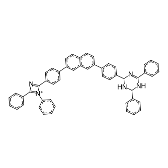 c1ccc(C2=NC(c3ccc(-c4ccc5ccc(-c6ccc(C7=NC(c8ccccc8)=[N+]7c7ccccc7)cc6)cc5c4)cc3)NC(c3ccccc3)N2)cc1